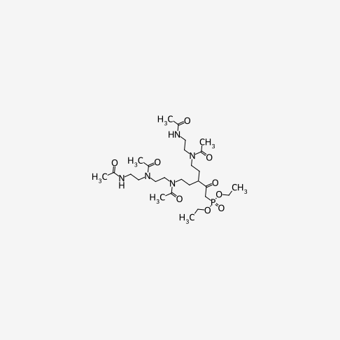 CCOP(=O)(CC(=O)C(CCN(CCNC(C)=O)C(C)=O)CCN(CCN(CCNC(C)=O)C(C)=O)C(C)=O)OCC